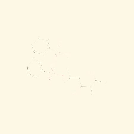 CC(C)CC(O)C(C)C(C)O.O=S(=O)(O)c1ccccc1.O=S(=O)(O)c1ccccc1